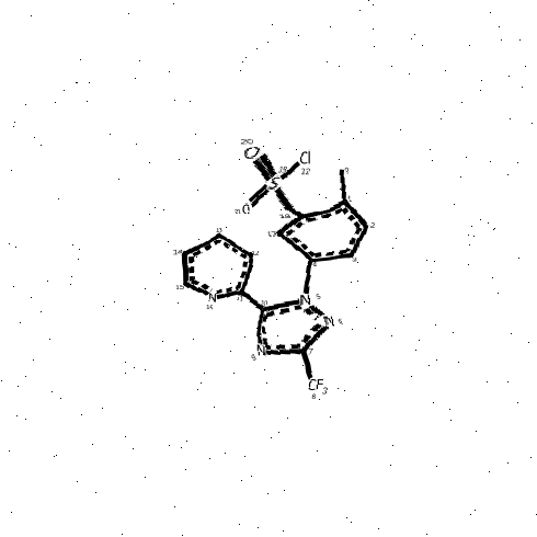 Cc1ccc(-n2nc(C(F)(F)F)nc2-c2ccccn2)cc1S(=O)(=O)Cl